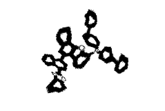 c1ccc(-c2ccc(N(c3ccc(-c4ccccc4)cc3)c3cccc4c3oc3c5ccccc5cc(-c5ccc(-c6nc7ccccc7o6)c6ccccc56)c43)cc2)cc1